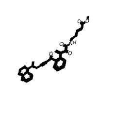 C=C(C(=O)C(=O)NCC/C=C/C(=O)OC)c1ccccc1C(=O)C#CCC(C)c1cccc2ccccc12